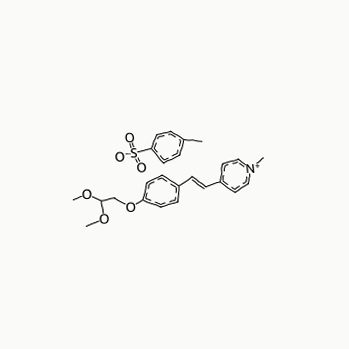 COC(COc1ccc(C=Cc2cc[n+](C)cc2)cc1)OC.Cc1ccc(S(=O)(=O)[O-])cc1